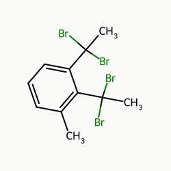 Cc1cccc(C(C)(Br)Br)c1C(C)(Br)Br